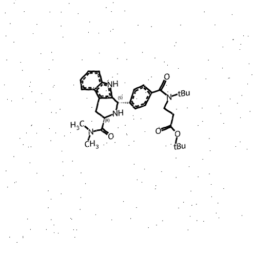 CN(C)C(=O)[C@H]1Cc2c([nH]c3ccccc23)[C@H](c2ccc(C(=O)N(CCC(=O)OC(C)(C)C)C(C)(C)C)cc2)N1